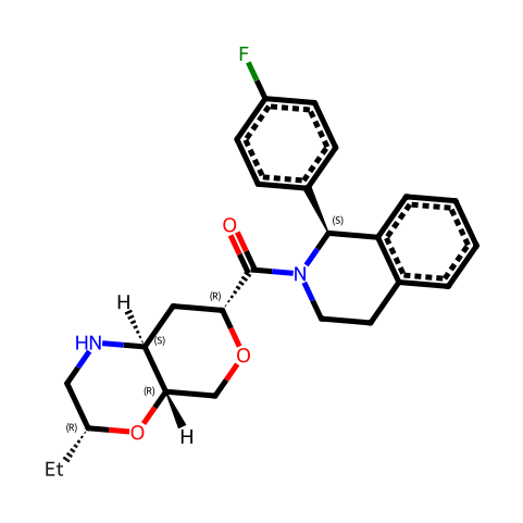 CC[C@@H]1CN[C@H]2C[C@H](C(=O)N3CCc4ccccc4[C@@H]3c3ccc(F)cc3)OC[C@@H]2O1